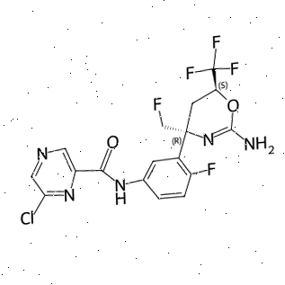 NC1=N[C@@](CF)(c2cc(NC(=O)c3cncc(Cl)n3)ccc2F)C[C@@H](C(F)(F)F)O1